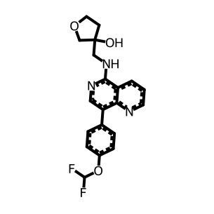 OC1(CNc2ncc(-c3ccc(OC(F)F)cc3)c3ncccc23)CCOC1